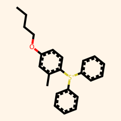 CCCCOc1ccc([S+](c2ccccc2)c2ccccc2)c(C)c1